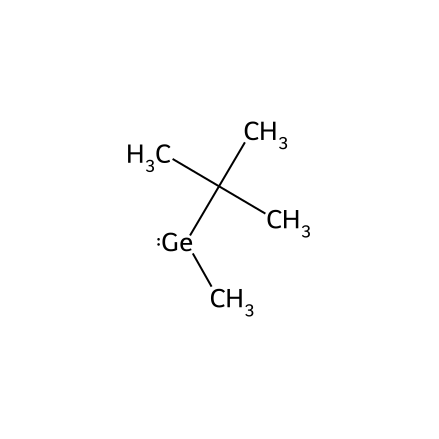 [CH3][Ge][C](C)(C)C